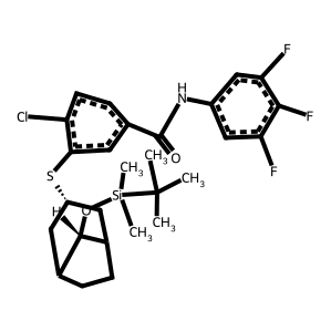 CC(C)(C)[Si](C)(C)O[C@H]1C2CCC1C[C@@H](Sc1cc(C(=O)Nc3cc(F)c(F)c(F)c3)ccc1Cl)C2